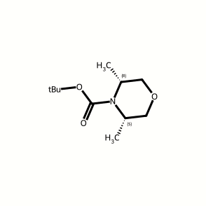 C[C@@H]1COC[C@H](C)N1C(=O)OC(C)(C)C